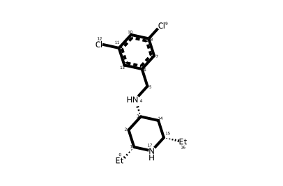 CC[C@@H]1C[C@H](NCc2cc(Cl)cc(Cl)c2)C[C@H](CC)N1